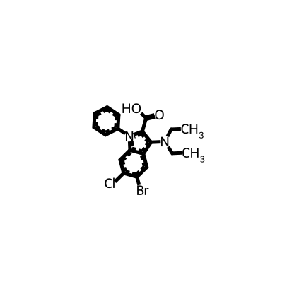 CCN(CC)c1c(C(=O)O)n(-c2ccccc2)c2cc(Cl)c(Br)cc12